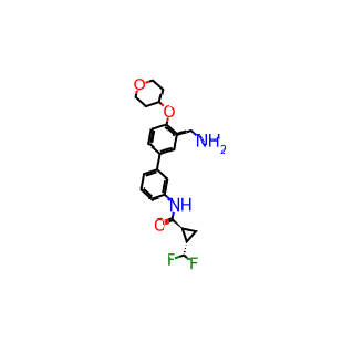 NCc1cc(-c2cccc(NC(=O)[C@H]3C[C@@H]3C(F)F)c2)ccc1OC1CCOCC1